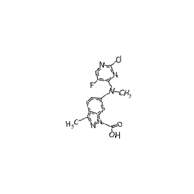 Cc1nn(C(=O)O)c2cc(N(C)c3nc(Cl)ncc3F)ccc12